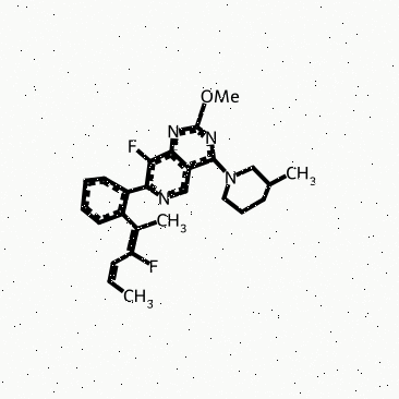 C/C=C\C(F)=C(\C)c1ccccc1-c1ncc2c(N3CCCC(C)C3)nc(OC)nc2c1F